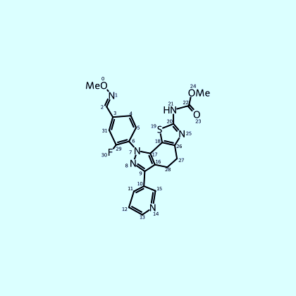 CON=Cc1ccc(-n2nc(-c3cccnc3)c3c2-c2sc(NC(=O)OC)nc2CC3)c(F)c1